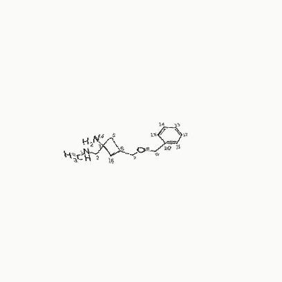 CNCC1(N)CC(COCc2ccccc2)C1